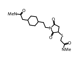 CNC(=O)CSC1CC(=O)N(CCC2CCC(CC(=O)NC)CC2)C1=O